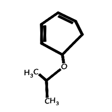 CC(C)OC1C=CC=CC1